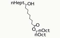 CCCCCCCCC(CCCCCCCC)OC(=O)CCCCCCCC(O)CCCCCCC